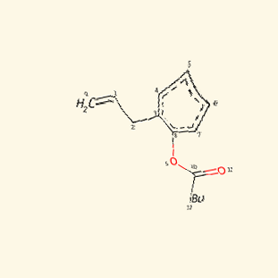 C=CCc1ccccc1OC(=O)C(C)CC